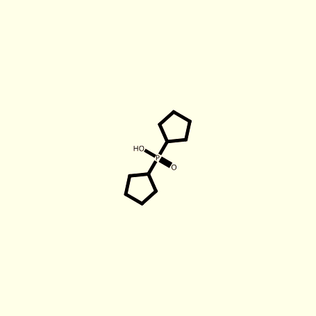 O=P(O)(C1CCCC1)C1CCCC1